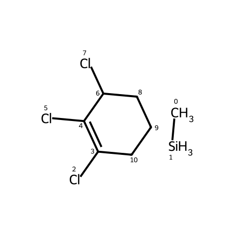 C[SiH3].ClC1=C(Cl)C(Cl)CCC1